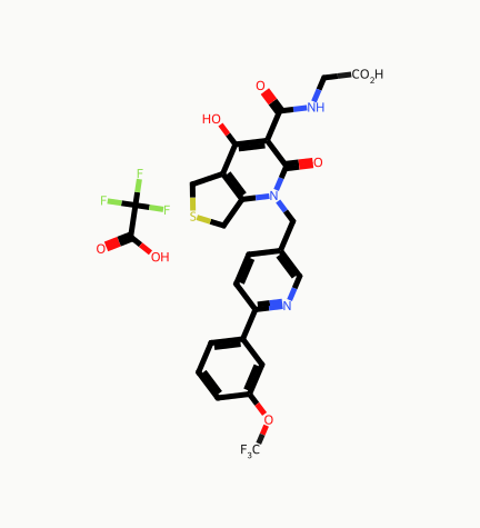 O=C(O)C(F)(F)F.O=C(O)CNC(=O)c1c(O)c2c(n(Cc3ccc(-c4cccc(OC(F)(F)F)c4)nc3)c1=O)CSC2